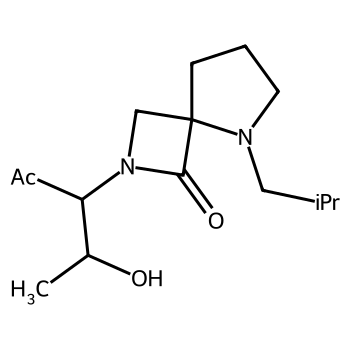 CC(=O)C(C(C)O)N1CC2(CCCN2CC(C)C)C1=O